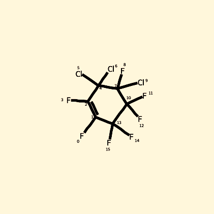 FC1=C(F)C(Cl)(Cl)C(F)(Cl)C(F)(F)C1(F)F